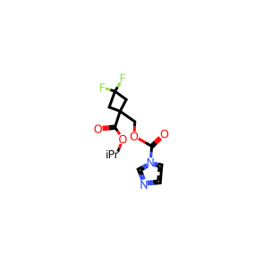 CC(C)OC(=O)C1(COC(=O)n2ccnc2)CC(F)(F)C1